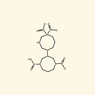 O=[N+]([O-])N1CCCN([N+](=O)O)CN(N2CCC[N+]([N+](=O)[O-])([N+](=O)[O-])CNC2)C1